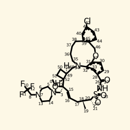 CO[C@]1(CN2CCN(CC(F)(F)F)CC2)/C=C/C[C@H](C)[C@@H](C)S(=O)(=O)NC(=O)c2ccc3c(c2)N(CCCCc2cc(Cl)ccc2CO3)C[C@@H]2CC[C@H]21